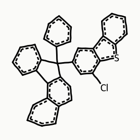 Clc1cc(C2(c3ccccc3)c3ccccc3-c3c2ccc2ccccc32)cc2c1sc1ccccc12